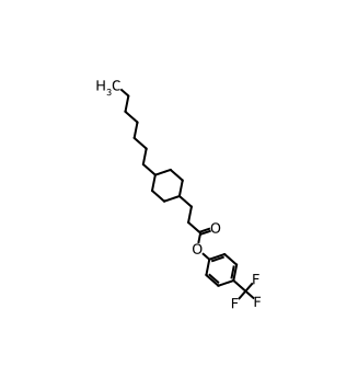 CCCCCCCC1CCC(CCC(=O)Oc2ccc(C(F)(F)F)cc2)CC1